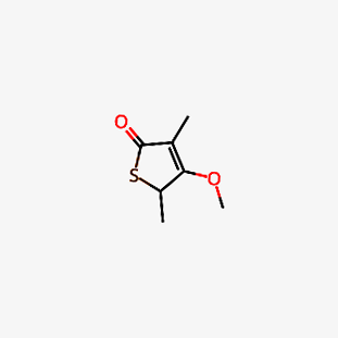 COC1=C(C)C(=O)SC1C